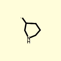 [CH2]C1CCCNC1